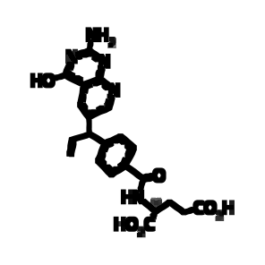 C=CC(c1ccc(C(=O)N[C@@H](CCC(=O)O)C(=O)O)cc1)c1cnc2nc(N)nc(O)c2c1